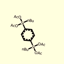 CCCC[Si](OC(C)=O)(OC(C)=O)c1ccc([Si](CCCC)(OC(C)=O)OC(C)=O)cc1